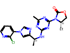 CC[C@H]1COC(=O)N1c1nc(C)nc(N[C@@H](C)c2cn(-c3cccnc3Cl)cn2)n1